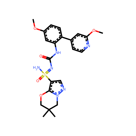 COc1ccc(-c2ccnc(OC)c2)c(NC(=O)N=S(N)(=O)c2cnn3c2OCC(C)(C)C3)c1